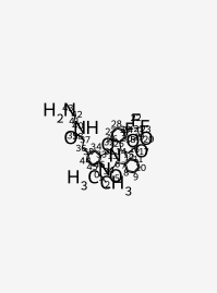 CC(C)N1C(=O)C(c2ccccc2)N(C(CC(=O)OC(=O)C(F)(F)F)c2ccccc2)C(=O)c2cc(CCC(=O)NCCN)ccc21